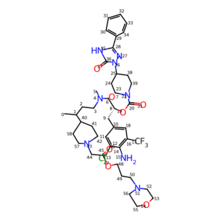 CC(CCN(C)C(=O)[C@@H](Cc1cc(Cl)c(N)c(C(F)(F)F)c1)OC(=O)N1CCC(n2nc(-c3ccccc3)[nH]c2=O)CC1)C1CCN(CC(=O)OCCCN2CCOCC2)CC1